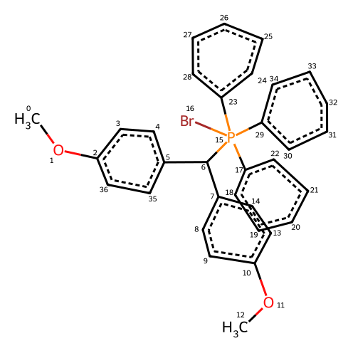 COc1ccc(C(c2ccc(OC)cc2)P(Br)(c2ccccc2)(c2ccccc2)c2ccccc2)cc1